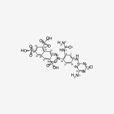 NC(=O)Nc1cc(Nc2nc(N)nc(Cl)n2)ccc1N=Nc1cc2c(S(=O)(=O)O)cc(S(=O)(=O)O)cc2cc1S(=O)(=O)O